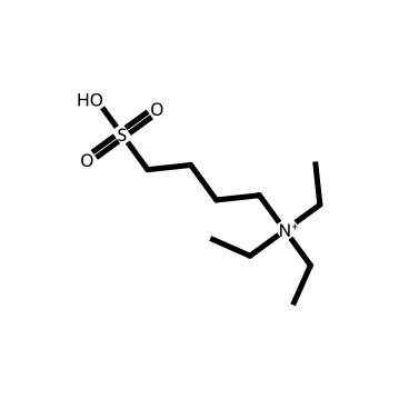 CC[N+](CC)(CC)CCCCS(=O)(=O)O